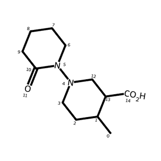 CC1CCN(N2CCCCC2=O)CC1C(=O)O